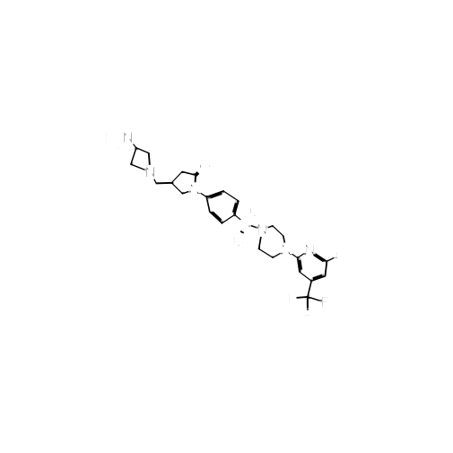 NC1CN(CC2CC(=O)N(c3ccc(S(=O)(=O)N4CCN(c5cc(C(F)(F)F)cc(Cl)n5)CC4)cc3)C2)C1